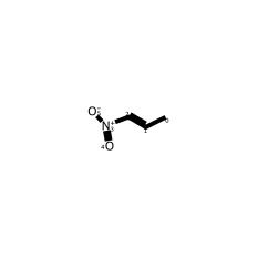 C/C=[C]/[N+](=O)[O-]